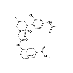 CC(=O)Nc1ccc(N2CC(C)CN(CC(=O)NC3C4CC5CC3CC(C(N)=O)(C5)C4)S2(=O)=O)c(Cl)c1